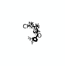 [2H]c1cc(C(=O)N2CCn3c(-c4nc(Cl)ns4)nnc3[C@H]2C)ccc1F